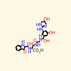 O=C(CNC(O)c1cc(O)cc(NC2=NCC(O)CN2)c1)NCC(NC(O)C1Nc2ccccc2C1=O)C(=O)O